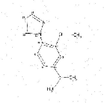 COc1cc(C(C)C)ccc1-n1cccn1